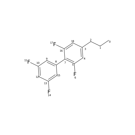 CCCc1cc(F)c(-c2cc(F)cc(F)c2)c(F)c1